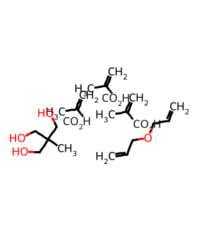 C=C(C)C(=O)O.C=C(C)C(=O)O.C=C(C)C(=O)O.C=CCOCC=C.CC(CO)(CO)CO